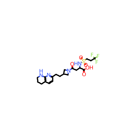 O=C(O)C(CC(=O)N1CC(CCc2ccc3c(n2)NCCC3)C1)NS(=O)(=O)CCC(F)(F)F